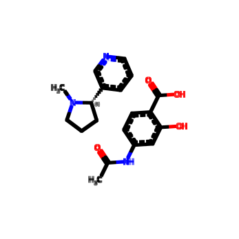 CC(=O)Nc1ccc(C(=O)O)c(O)c1.CN1CCC[C@H]1c1cccnc1